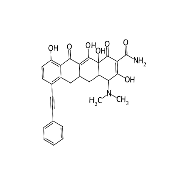 CN(C)C1C(O)=C(C(N)=O)C(=O)C2(O)C(O)=C3C(=O)c4c(O)ccc(C#Cc5ccccc5)c4CC3CC12